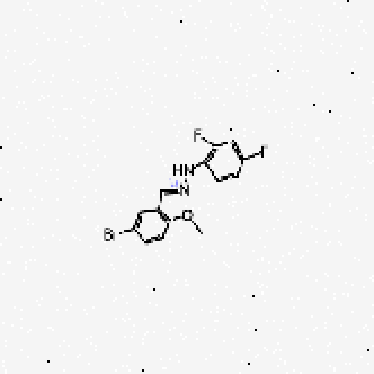 COc1ccc(Br)cc1/C=N/Nc1ccc(F)cc1F